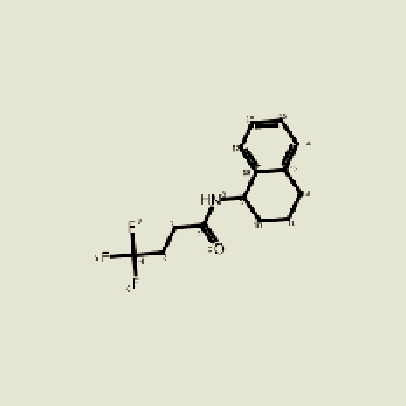 O=C(CCC(F)(F)F)NC1CCCc2ccccc21